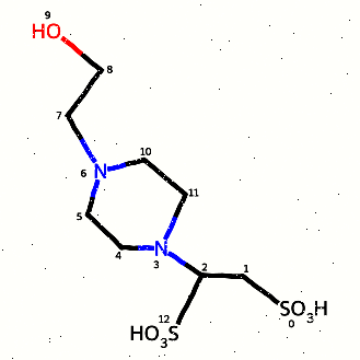 O=S(=O)(O)CC(N1CCN(CCO)CC1)S(=O)(=O)O